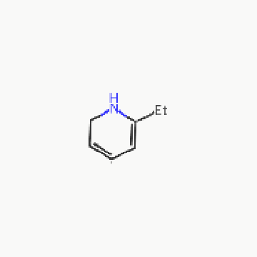 CCC1=C[C]=CCN1